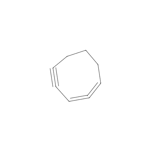 C1=CC#CCCCC=1